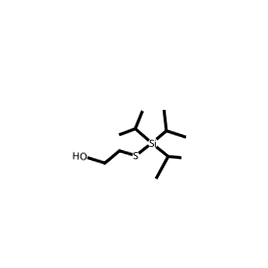 CC(C)[Si](SCCO)(C(C)C)C(C)C